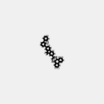 CC1(C)c2cc(-c3cnc4c5ccccc5c5ccccc5c4n3)ccc2-c2ccc(-c3cccc4c3oc3ccccc34)cc21